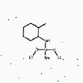 CCC[Si](NC1CCCCC1C)(OCC)OCC